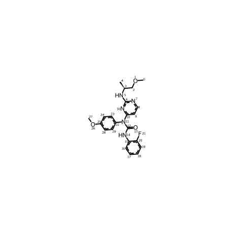 COC[C@H](C)Nc1nccc(N(C(=O)Nc2ccccc2F)c2ccc(OC)cc2)n1